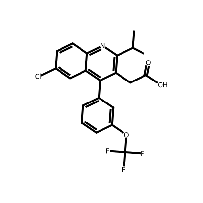 CC(C)c1nc2ccc(Cl)cc2c(-c2cccc(OC(F)(F)F)c2)c1CC(=O)O